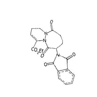 CCOC(=O)C1=CCCN2C(=O)CCC(N3C(=O)c4ccccc4C3=O)C(=O)N12